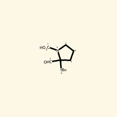 CC(C)(C)C1(C=O)CCCN1C(=O)O